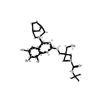 CC(C)(C)OC(=O)N1CC(CO)(COc2nc(N3CC4CCC(C4)C3)c3cc(F)c(Br)c(F)c3n2)C1